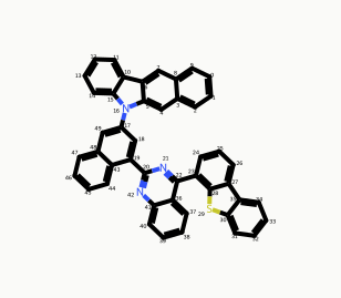 c1ccc2cc3c(cc2c1)c1ccccc1n3-c1cc(-c2nc(-c3cccc4c3sc3ccccc34)c3ccccc3n2)c2ccccc2c1